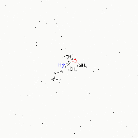 [CH2]CCN[Si](C)(C)O[SiH3]